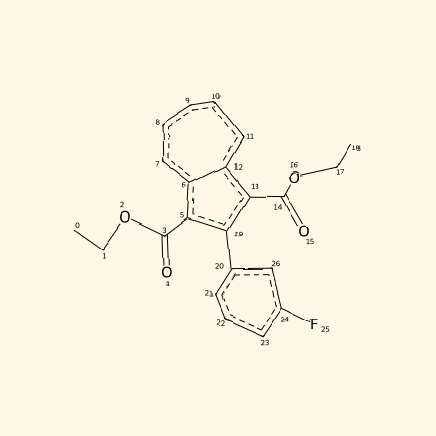 CCOC(=O)c1c2cccccc-2c(C(=O)OCC)c1-c1cccc(F)c1